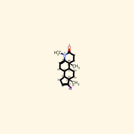 CN1C(=O)CC[C@@]2(C)C1=CCC1C2CC[C@]2(C)C(I)=CCC12